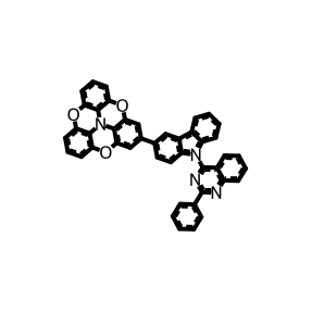 c1ccc(-c2nc(-n3c4ccccc4c4cc(-c5cc6c7c(c5)Oc5cccc8c5N7c5c(cccc5O6)O8)ccc43)c3ccccc3n2)cc1